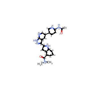 CCC(=O)Nc1ccc(-c2cnc3[nH]nc(-c4cc5c(C(=O)N(C)C)cccc5[nH]4)c3c2)cn1